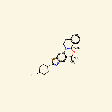 CC1(C)OC2(C)c3ccccc3CCN2c2cc3sc([C@H]4CC[C@H](C)CC4)nc3cc21